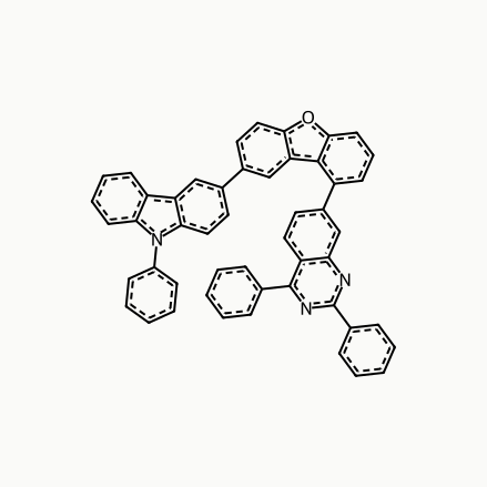 c1ccc(-c2nc(-c3ccccc3)c3ccc(-c4cccc5oc6ccc(-c7ccc8c(c7)c7ccccc7n8-c7ccccc7)cc6c45)cc3n2)cc1